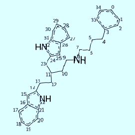 c1ccc(CCCCNCCC(CCc2cc3ccccc3[nH]2)Cc2cc3ccccc3[nH]2)cc1